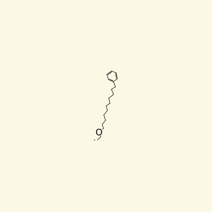 [CH2]COCCCCCCCCCCCc1ccccc1